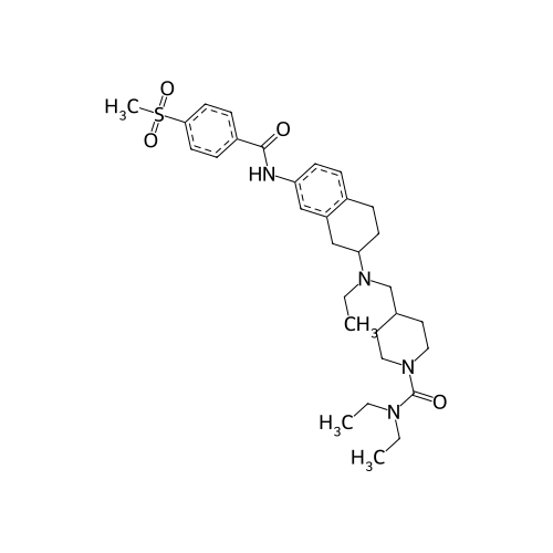 CCN(CC)C(=O)N1CCC(CN(CC)C2CCc3ccc(NC(=O)c4ccc(S(C)(=O)=O)cc4)cc3C2)CC1